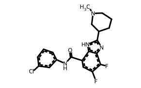 CN1CCCC(c2nc3c(F)c(F)cc(C(=O)Nc4cccc(Cl)c4)c3[nH]2)C1